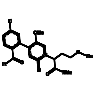 CCC(=O)c1ccc(Cl)cc1-c1cc(=O)n(C(CCOC(C)(C)C)C(=O)NC)cc1OC